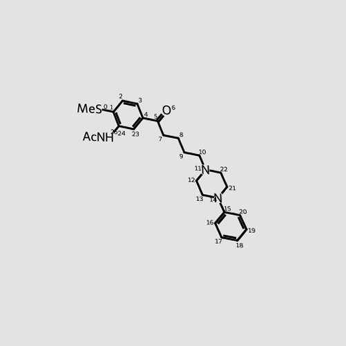 CSc1ccc(C(=O)CCCCN2CCN(c3ccccc3)CC2)cc1NC(C)=O